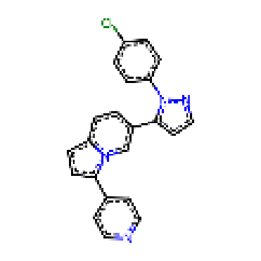 Clc1ccc(-n2nccc2-c2ccc3ccc(-c4ccncc4)n3c2)cc1